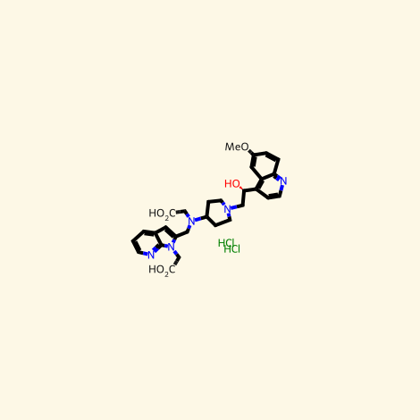 COc1ccc2nccc([C@@H](O)CN3CCC(N(CC(=O)O)Cc4cc5cccnc5n4CC(=O)O)CC3)c2c1.Cl.Cl